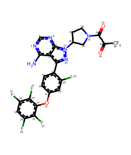 Nc1ncnc2c1c(-c1ccc(Oc3c(F)c(F)cc(F)c3F)cc1F)nn2C1CCN(C(=O)C(=O)C(F)(F)F)C1